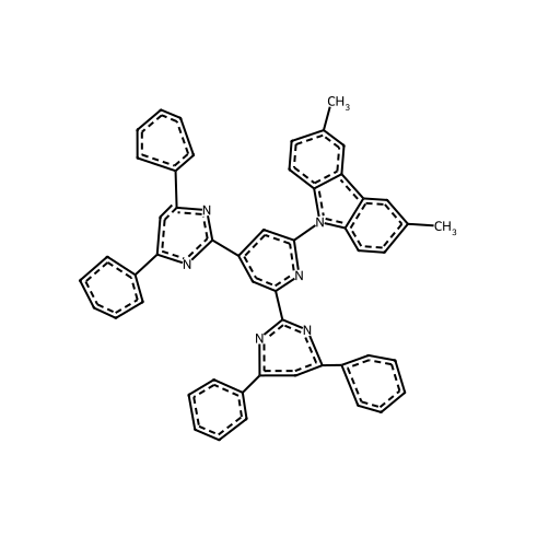 Cc1ccc2c(c1)c1cc(C)ccc1n2-c1cc(-c2nc(-c3ccccc3)cc(-c3ccccc3)n2)cc(-c2nc(-c3ccccc3)cc(-c3ccccc3)n2)n1